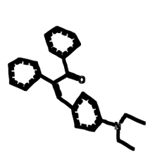 CCN(CC)c1ccc(/C=C(\C(=O)c2ccccc2)c2ccccc2)cc1